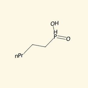 CCCCC[PH](=O)O